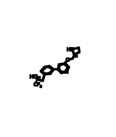 O[C@H](Cc1cccc(-c2cncc(OC[C@@H]3CCN3)c2)c1)C(F)(F)F